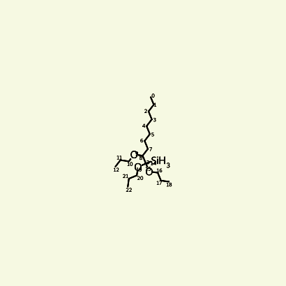 CCCCCCCCC(OCCC)C([SiH3])(OCCC)OCCC